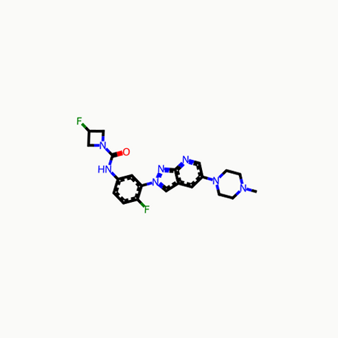 CN1CCN(c2cnc3nn(-c4cc(NC(=O)N5CC(F)C5)ccc4F)cc3c2)CC1